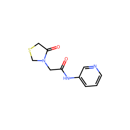 O=C(CN1CSCC1=O)Nc1cccnc1